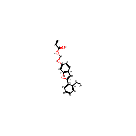 C=CC(=O)OCOc1ccc2cc(-c3ccccc3CC)oc2c1